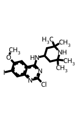 COc1cc2c(NC3CC(C)(C)NC(C)(C)C3)nc(Cl)nc2cc1I